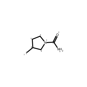 NC(=O)N1CCC(I)C1